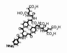 [N-]=[N+]=Nc1ccc(C(=O)NC(CCC(=O)N2CCC(C[C@H](NC(=O)N[C@H](CCC(=O)O)C(=O)O)C(=O)O)CC2)CCC(=O)N2CCC(C[C@@H](NC(=O)N[C@@H](CCC(=O)O)C(=O)O)C(=O)O)CC2)cc1